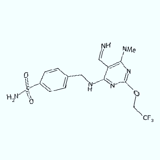 CNc1nc(OCC(F)(F)F)nc(NCc2ccc(S(N)(=O)=O)cc2)c1C=N